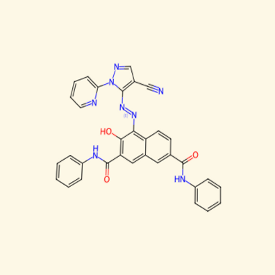 N#Cc1cnn(-c2ccccn2)c1/N=N/c1c(O)c(C(=O)Nc2ccccc2)cc2cc(C(=O)Nc3ccccc3)ccc12